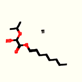 CCCCCCC=COC(=O)C(O)OC(C)C.[Ti]